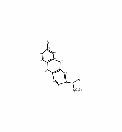 CCOC(=O)C(C)c1ccc2c(c1)Sc1cc(Br)ccc1S2